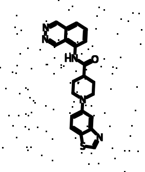 O=C(Nc1cccc2cnncc12)C1CCN(c2ccc3scnc3c2)CC1